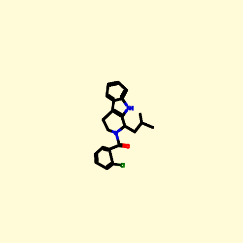 CC(C)CC1c2[nH]c3ccccc3c2CCN1C(=O)c1ccccc1Cl